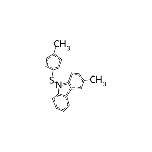 Cc1ccc(Sn2c3ccccc3c3cc(C)ccc32)cc1